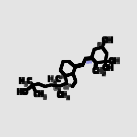 C=C1/C(=C\C=C2CCC[C@@]3(C)C2CC[C@@H]3[C@H](C)CCCC(C)(C)O)C[C@@H](O)CC1(O)O